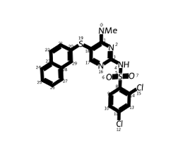 CNc1nc(NS(=O)(=O)c2ccc(Cl)cc2Cl)ncc1Sc1ccc2ccccc2c1